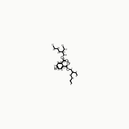 CCCCC(CC)COC(=O)c1ccccc1C(=O)OCC(CC)CCCC.[H+]